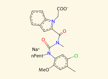 CCCCCN(C(=O)N(C)C(=O)c1cc2ccccc2n1CC(=O)[O-])c1cc(Cl)c(C)cc1OC.[Na+]